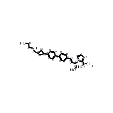 C[C@H](O)c1nccn1[C@@H](/C=C/c1ccc(-c2ccc(C3CC(CNCCO)C3)cc2)cc1)CO